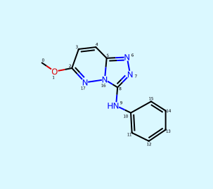 COc1ccc2nnc(Nc3ccccc3)n2n1